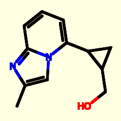 Cc1cn2c(C3CC3CO)cccc2n1